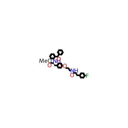 COC(=O)[C@H](Cc1ccc(OCCCNC(=O)CCc2ccc(F)cc2)cc1)Nc1ccccc1C(=O)c1ccccc1